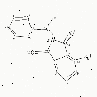 CN(c1ccncc1)N1C(=O)c2cccc(O)c2C1=O